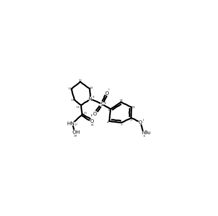 CCCCOc1ccc(S(=O)(=O)N2CCCCC2C(=O)NO)cc1